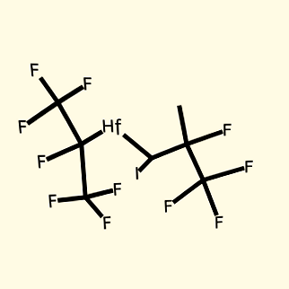 CC(F)([CH](I)[Hf][C](F)(C(F)(F)F)C(F)(F)F)C(F)(F)F